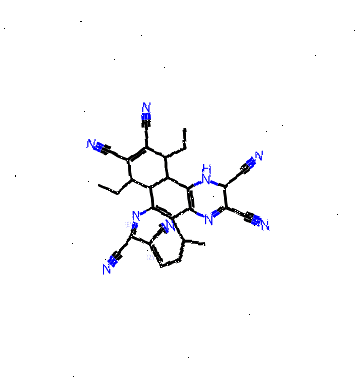 CCC1C(C#N)=C(C#N)C(CC)C2C3=C(N=C(C#N)C(C#N)N3)C3=C(/N=C(C#N)\C(C#N)=C\CC3C)C12